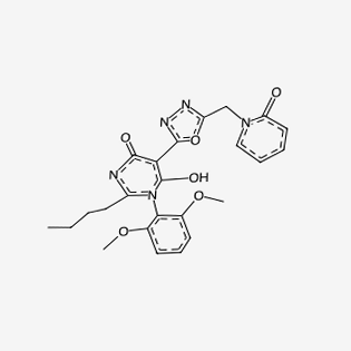 CCCCc1nc(=O)c(-c2nnc(Cn3ccccc3=O)o2)c(O)n1-c1c(OC)cccc1OC